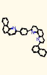 c1ccc2c(-c3ccc4ccc5ccc(-c6ccc(-c7ccc8ccc9ccccc9c8n7)cc6)nc5c4n3)cccc2c1